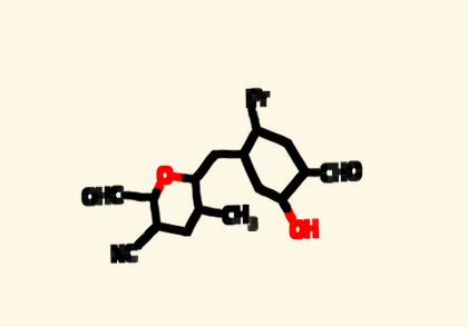 CC(C)C1CC(C=O)C(O)CC1CC1OC(C=O)C(C#N)CC1C